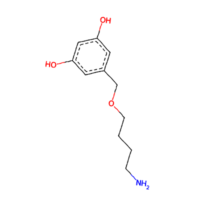 NCCCCOCc1cc(O)cc(O)c1